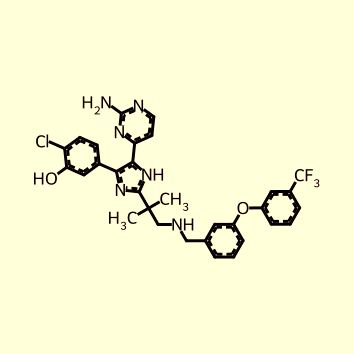 CC(C)(CNCc1cccc(Oc2cccc(C(F)(F)F)c2)c1)c1nc(-c2ccc(Cl)c(O)c2)c(-c2ccnc(N)n2)[nH]1